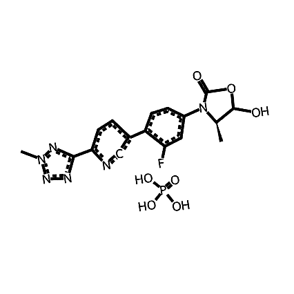 C[C@@H]1C(O)OC(=O)N1c1ccc(-c2ccc(-c3nnn(C)n3)nc2)c(F)c1.O=P(O)(O)O